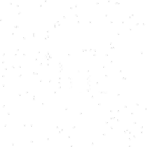 CCCCc1ccc(C=C(C)[N+](=O)[O-])cc1